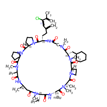 C=C(/C=C(/Cl)C(=C)C(F)(F)F)CC[C@@H]1NC(=O)CN(C)C(=O)[C@H](CC2CCCCC2)N(C)C(=O)[C@@H]2CCN2C(=O)[C@H](C)N(C)C(=O)[C@H]([C@@H](C)CC)NC(=O)[C@H](CC(C)C)N(C)C(=O)C[C@@H](C)NC(=O)C(C(C)C)N(C)C(=O)C2(CCCC2)NC(=O)[C@@H]2CCCN2C1=O